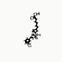 O=C(O)CCC/C=C/C1CCC(NS(=O)(=O)/C=C/c2cccc(Cl)c2)C1